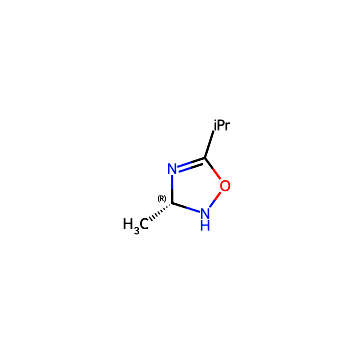 CC(C)C1=N[C@@H](C)NO1